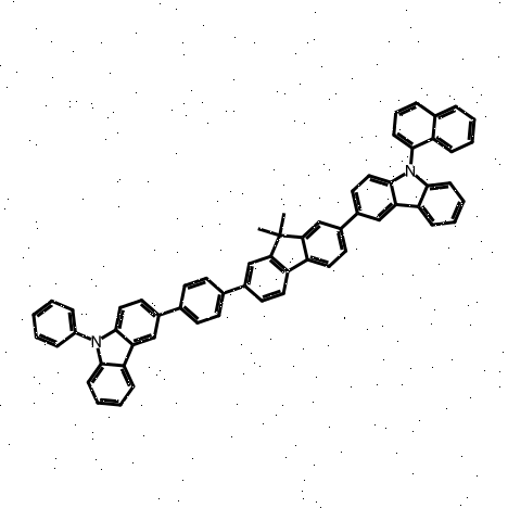 CC1(C)c2cc(-c3ccc(-c4ccc5c(c4)c4ccccc4n5-c4ccccc4)cc3)ccc2-c2ccc(-c3ccc4c(c3)c3ccccc3n4-c3cccc4ccccc34)cc21